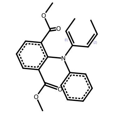 C/C=C\C(=C/C)N(c1ccccc1)c1c(C(=O)OC)cccc1C(=O)OC